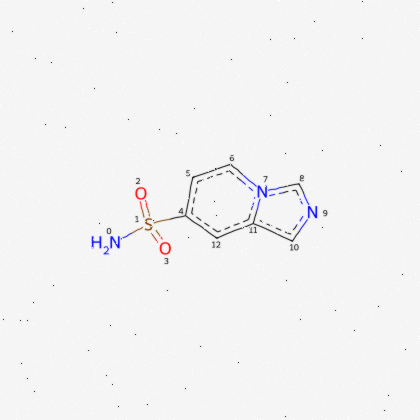 NS(=O)(=O)c1ccn2cncc2c1